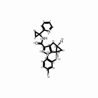 O=C(NC1(c2ccccn2)CC1)c1nn(-c2ccc(F)cc2F)c2c1C[C@@H]1C[C@H]21